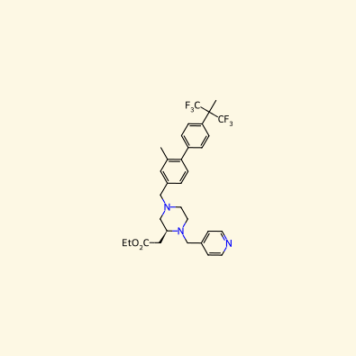 CCOC(=O)C[C@H]1CN(Cc2ccc(-c3ccc(C(C)(C(F)(F)F)C(F)(F)F)cc3)c(C)c2)CCN1Cc1ccncc1